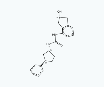 O=C(Nc1cccc2c1C[C@H](O)C2)N[C@@H]1CC[C@@H](c2ccccc2)C1